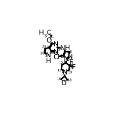 CCOc1nc(Nc2cnn(C3CCN(C4COC4)CC3(F)F)c2Cl)nc2[nH]ccc12